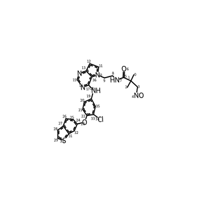 CC(C)(CN=O)C(=O)NCCn1ccc2ncnc(Nc3ccc(Oc4ccc5ccsc5c4)c(Cl)c3)c21